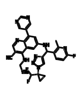 Cc1nc(F)ccc1C(Nc1cc(-c2cncnc2)c2ncc(C#N)c(NCC(C)(C)C)c2c1)c1cn(C2(C(F)F)CC2)nn1